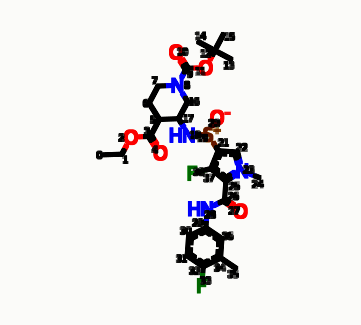 CCOC(=O)C1CCN(C(=O)OC(C)(C)C)CC1N[S+]([O-])c1cn(C)c(C(=O)Nc2ccc(F)c(C)c2)c1F